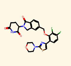 O=C1CCC(N2Cc3cc(COc4c(-c5csc(N6CCOCC6)n5)ccc(F)c4F)ccc3C2=O)C(=O)N1